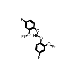 CCOc1cc(F)ccc1OBOc1ccc(F)cc1OCC